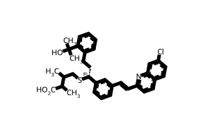 CC(CS[C@H](CCc1ccccc1C(C)(C)O)c1cccc(C=Cc2ccc3ccc(Cl)cc3n2)c1)C(C)C(=O)O